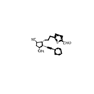 N#C[C@@H]1C[C@@H](O)[C@H](C#Cc2ccccc2)[C@H]1CCCc1ccc(C=O)s1